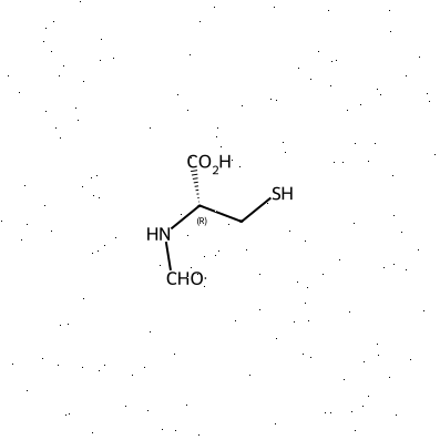 O=[C]N[C@@H](CS)C(=O)O